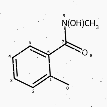 Cc1ccccc1C(=O)N(C)O